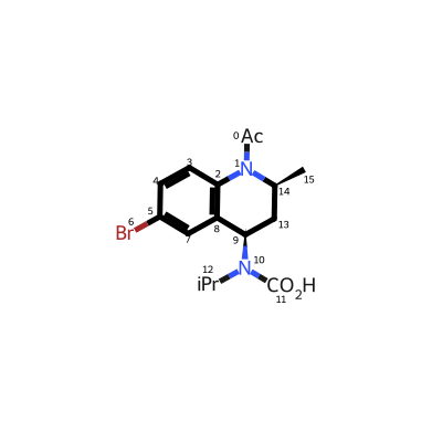 CC(=O)N1c2ccc(Br)cc2[C@H](N(C(=O)O)C(C)C)C[C@@H]1C